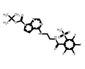 CC(C)(C)OC(=O)n1ccc2c(NCCNC(=O)c3c(F)c(F)c(F)c(F)c3S(C)(=O)=O)ncnc21